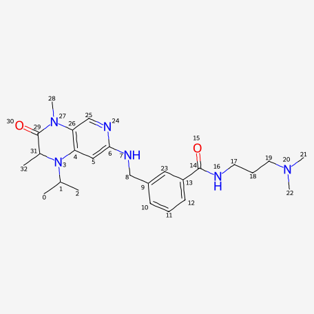 CC(C)N1c2cc(NCc3cccc(C(=O)NCCCN(C)C)c3)ncc2N(C)C(=O)C1C